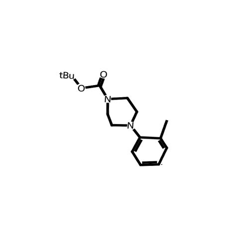 Cc1c[c]ccc1N1CCN(C(=O)OC(C)(C)C)CC1